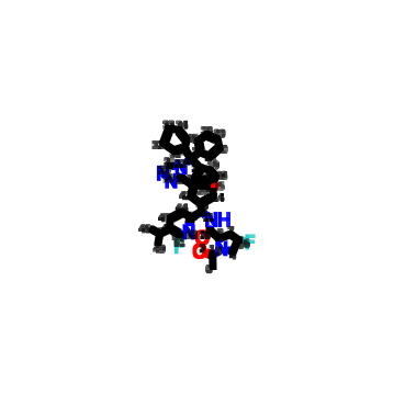 CC(=O)N1CC(F)CC1C(=O)NC(c1cccc(-c2nncn2C(c2ccccc2)(c2ccccc2)c2ccccc2)c1)c1ccc(C(C)C)c(F)n1